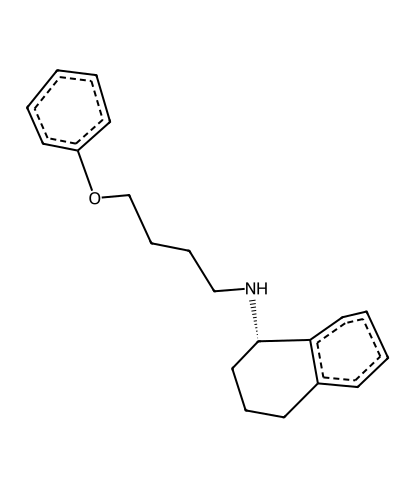 c1ccc(OCCCCN[C@H]2CCCc3ccccc32)cc1